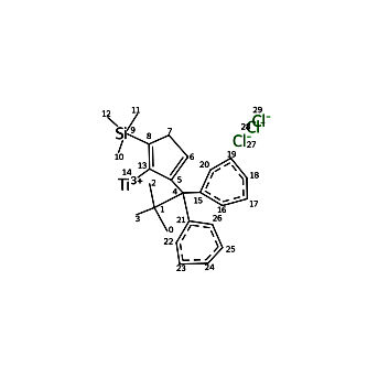 CC(C)(C)C(C1=CCC([Si](C)(C)C)=[C]1[Ti+3])(c1ccccc1)c1ccccc1.[Cl-].[Cl-].[Cl-]